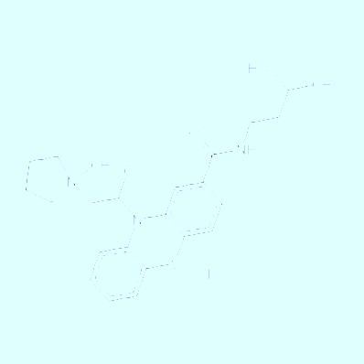 CC(C)CCNC(=O)c1ccc2c(c1)N(C(C)C[N+]1(C)CCCC1)c1ccccc1S2.[I-]